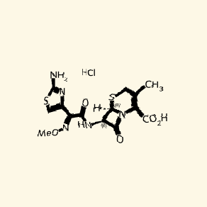 CON=C(C(=O)N[C@@H]1C(=O)N2C(C(=O)O)=C(C)CS[C@H]12)c1csc(N)n1.Cl